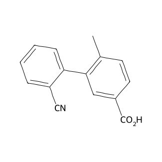 Cc1ccc(C(=O)O)cc1-c1ccccc1C#N